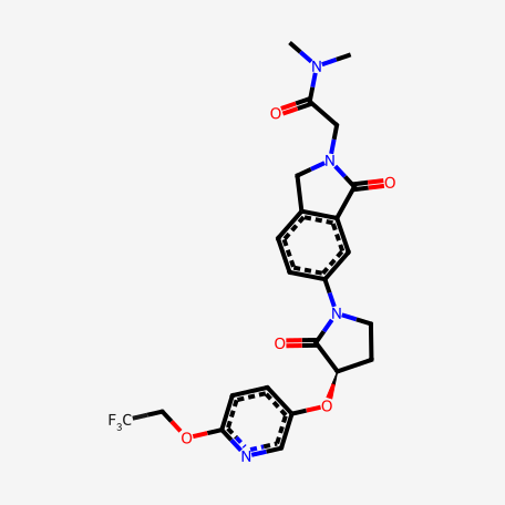 CN(C)C(=O)CN1Cc2ccc(N3CC[C@@H](Oc4ccc(OCC(F)(F)F)nc4)C3=O)cc2C1=O